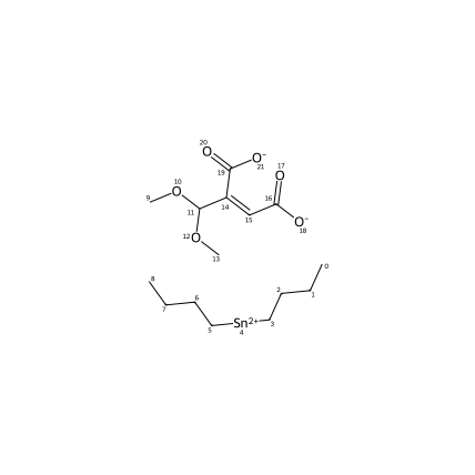 CCC[CH2][Sn+2][CH2]CCC.COC(OC)C(=CC(=O)[O-])C(=O)[O-]